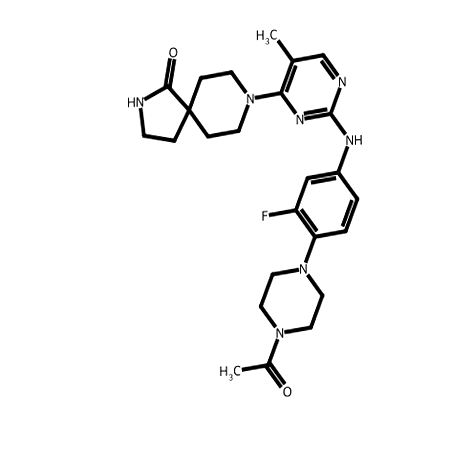 CC(=O)N1CCN(c2ccc(Nc3ncc(C)c(N4CCC5(CCNC5=O)CC4)n3)cc2F)CC1